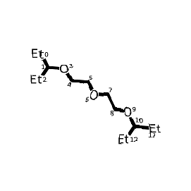 CCC(CC)OCCOCCOC(CC)CC